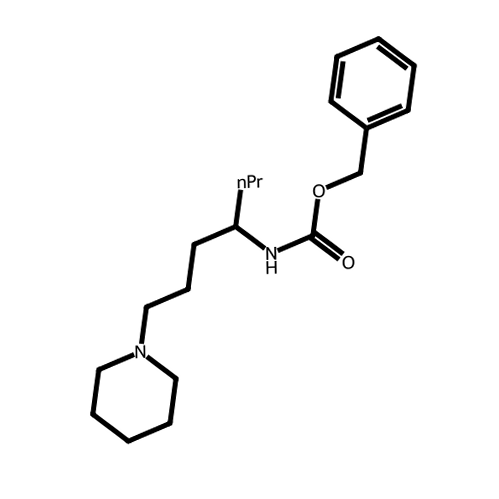 CCCC(CCCN1CCCCC1)NC(=O)OCc1ccccc1